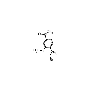 COc1cc([S+](C)[O-])ccc1C(=O)CBr